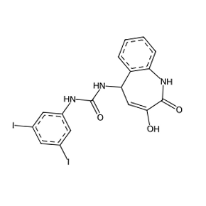 O=C(Nc1cc(I)cc(I)c1)NC1C=C(O)C(=O)Nc2ccccc21